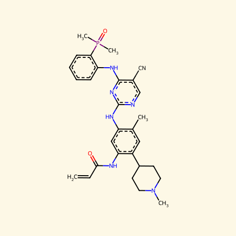 C=CC(=O)Nc1cc(Nc2ncc(C#N)c(Nc3ccccc3P(C)(C)=O)n2)c(C)cc1C1CCN(C)CC1